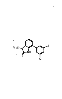 CSC1C(=O)Nc2c(-c3cc(Cl)cc(Cl)c3)cccc21